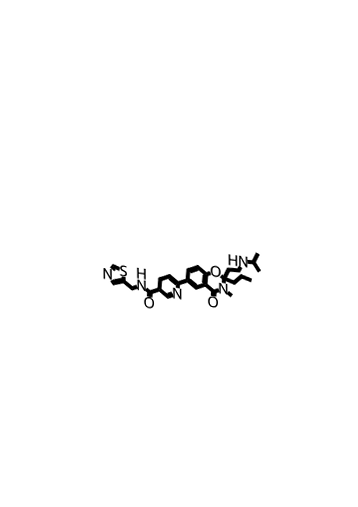 CCCC1(CCNC(C)C)Oc2ccc(C3=CCC(C(=O)NCc4cncs4)C=N3)cc2C(=O)N1C